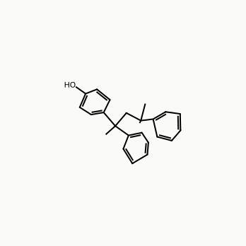 CC(C)(CC(C)(c1ccccc1)c1ccc(O)cc1)c1ccccc1